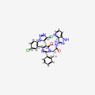 O=C(Nc1n[nH]c2cccnc12)[C@H](Cc1ccccc1)n1cnc(-c2cc(Cl)ccc2-n2cc(Cl)nn2)cc1=O